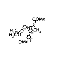 COC(=O)CCSc1cn(-c2cccc(OCC(=O)N(C)C)c2)c2nc(-c3ccc(OC)c(F)c3)nc(C)c12